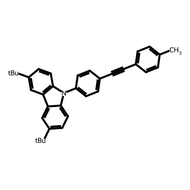 Cc1ccc(C#Cc2ccc(-n3c4ccc(C(C)(C)C)cc4c4cc(C(C)(C)C)ccc43)cc2)cc1